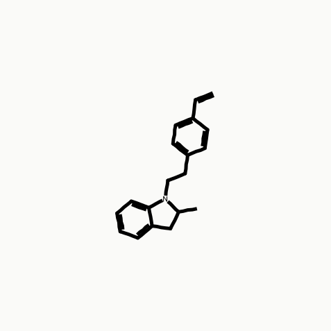 C=Cc1ccc(CCN2c3ccccc3CC2C)cc1